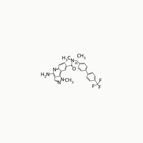 C[C@H](c1ccc(-c2ccc(C(F)(F)F)cc2)cc1)N(C)C(=O)c1ccc2nc(N)c3cnn(C)c3c2c1